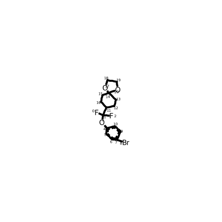 FC(F)(Oc1ccc(Br)cc1)C1CCC2(CC1)OCCO2